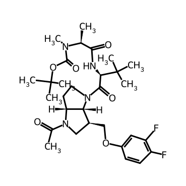 CC(=O)N1C[C@H](COc2ccc(F)c(F)c2)[C@@H]2[C@H]1CCN2C(=O)[C@@H](NC(=O)[C@H](C)N(C)C(=O)OC(C)(C)C)C(C)(C)C